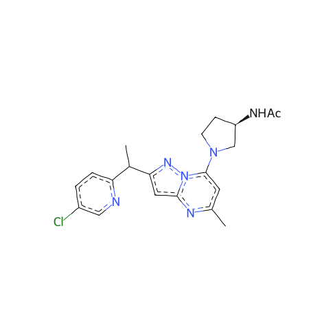 CC(=O)N[C@@H]1CCN(c2cc(C)nc3cc(C(C)c4ccc(Cl)cn4)nn23)C1